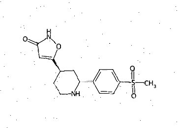 CS(=O)(=O)c1ccc([C@H]2C[C@H](c3cc(=O)[nH]o3)CCN2)cc1